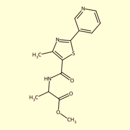 COC(=O)C(C)NC(=O)c1sc(-c2cccnc2)nc1C